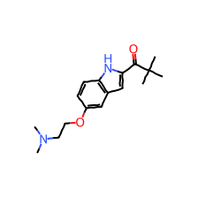 CN(C)CCOc1ccc2[nH]c(C(=O)C(C)(C)C)cc2c1